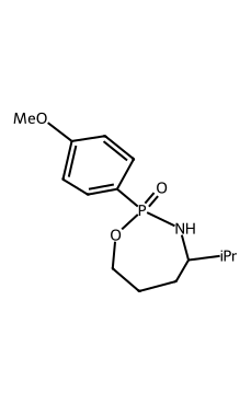 COc1ccc(P2(=O)NC(C(C)C)CCCO2)cc1